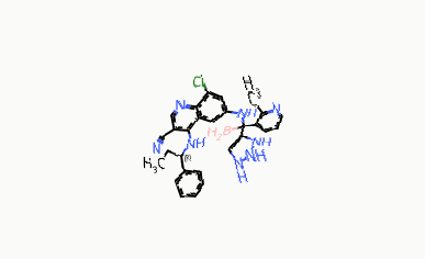 BC(Nc1cc(Cl)c2ncc(C#N)c(N[C@H](CC)c3ccccc3)c2c1)(C1=CNNN1)c1cccnc1C